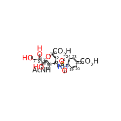 CC(=O)N[C@H]1[C@H]([C@H](O)[C@H](O)CO)OC(C(=O)O)=C[C@@H]1NS(=O)(=O)c1ccc(C(=O)O)cc1